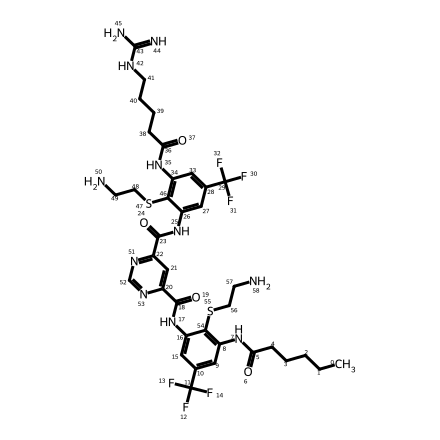 CCCCCC(=O)Nc1cc(C(F)(F)F)cc(NC(=O)c2cc(C(=O)Nc3cc(C(F)(F)F)cc(NC(=O)CCCCNC(=N)N)c3SCCN)ncn2)c1SCCN